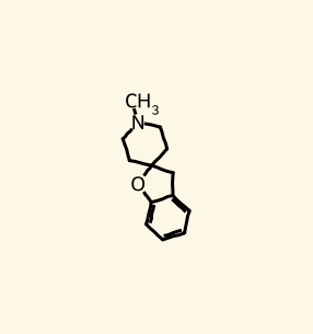 CN1CCC2(CC1)Cc1ccccc1O2